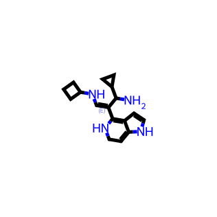 NC(/C(=C\NC1CCC1)C1=c2cc[nH]c2=CCN1)C1CC1